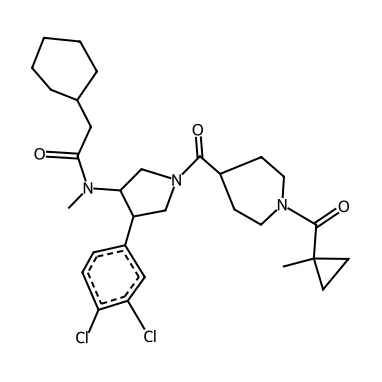 CN(C(=O)CC1CCCCC1)C1CN(C(=O)C2CCN(C(=O)C3(C)CC3)CC2)CC1c1ccc(Cl)c(Cl)c1